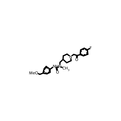 COCc1ccc(NC(=O)N(C)CC2CCN(CC(=O)c3ccc(F)cc3)CC2)cc1